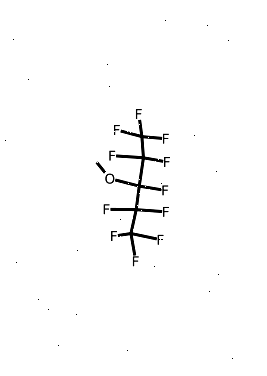 COC(F)(C(F)(F)C(F)(F)F)C(F)(F)C(F)(F)F